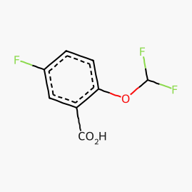 O=C(O)c1cc(F)ccc1OC(F)F